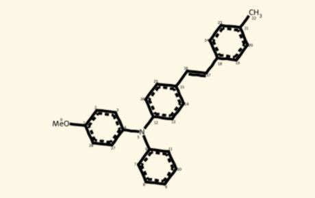 COc1ccc(N(c2ccccc2)c2ccc(C=Cc3ccc(C)cc3)cc2)cc1